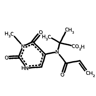 C=CC(=O)N(c1c[nH]c(=O)n(C)c1=O)C(C)(C)C(=O)O